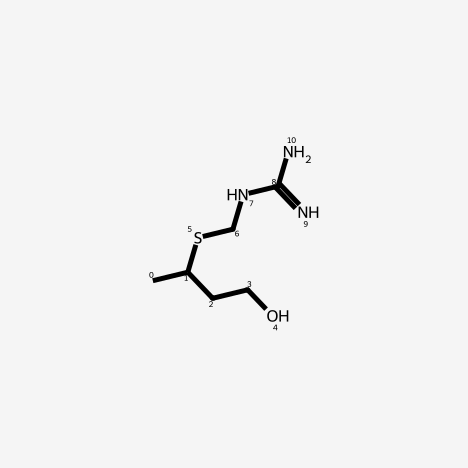 CC(CCO)SCNC(=N)N